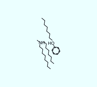 CCCCCCCC.CCCCCCCC.CCCCCCCCNC.Oc1ccccc1